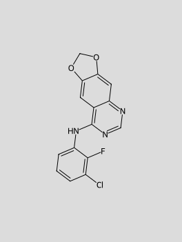 Fc1c(Cl)cccc1Nc1ncnc2cc3c(cc12)OCO3